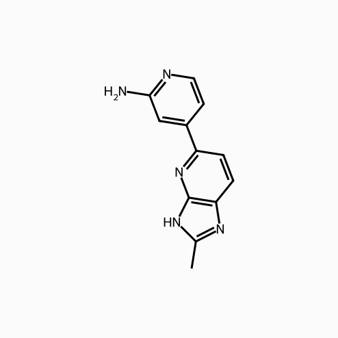 Cc1nc2ccc(-c3ccnc(N)c3)nc2[nH]1